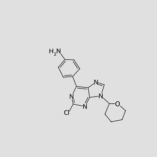 Nc1ccc(-c2nc(Cl)nc3c2ncn3C2CCCCO2)cc1